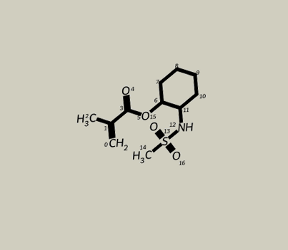 C=C(C)C(=O)OC1CCCCC1NS(C)(=O)=O